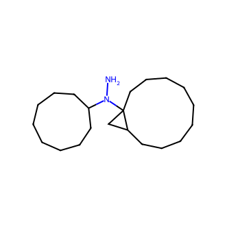 NN(C1CCCCCCCC1)C12CCCCCCCCCC1C2